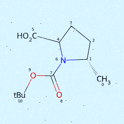 C[C@H]1CCC(C(=O)O)N1C(=O)OC(C)(C)C